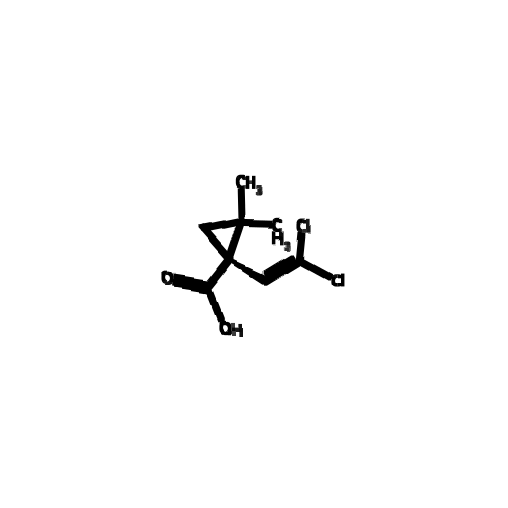 CC1(C)C[C@@]1(C=C(Cl)Cl)C(=O)O